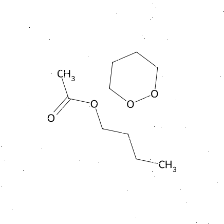 C1CCOOC1.CCCCOC(C)=O